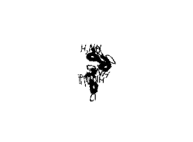 CC(C)OCC(Nc1ccc(Cl)cc1)C(=O)Nc1ccc2c(=O)[nH]c3c(C(N)=O)cccc3c2c1